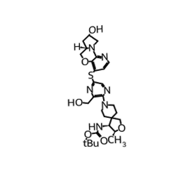 C[C@@H]1OCC2(CCN(c3ncc(Sc4ccnc5c4OC[C@@H]4C[C@H](O)CN54)nc3CO)CC2)[C@@H]1NC(=O)OC(C)(C)C